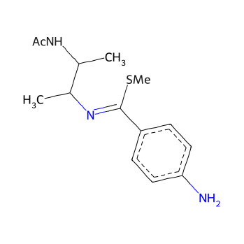 CS/C(=N\C(C)C(C)NC(C)=O)c1ccc(N)cc1